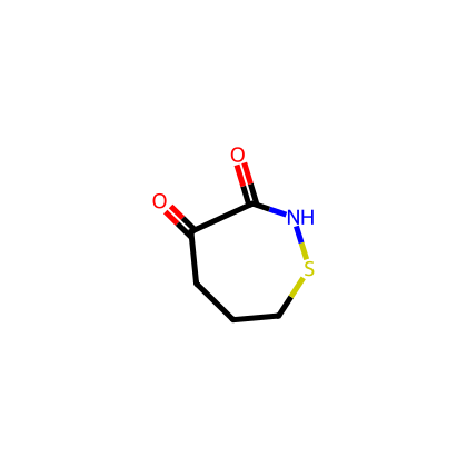 O=C1CCCSNC1=O